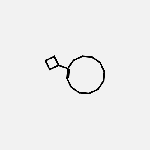 C1=C(C2CCC2)CCCCCCCCCC1